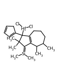 CC1CCCC2=C(C(=[Si](C)C)C(C)(C)[C]2(C2=CC=CC2)[Hf]([Cl])[Cl])C1C